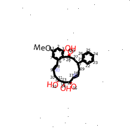 COc1cc(O)c2c(c1)/C=C/C[C@H](O)[C@H](O)C(=O)/C=C/CC(c1ccccc1)CC2=O